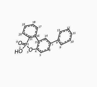 O=P1(O)Oc2ccc(-c3ccccc3)cc2-c2ccccc21